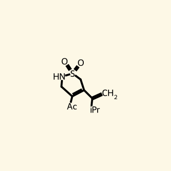 C=C(C1=C(C(C)=O)CNS(=O)(=O)C1)C(C)C